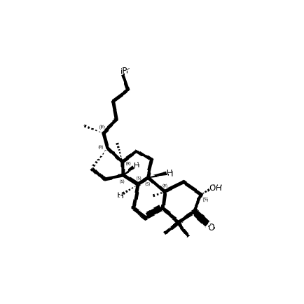 CC(C)CCC[C@@H](C)[C@H]1CC[C@H]2[C@@H]3CC=C4C(C)(C)C(=O)[C@@H](O)C[C@]4(C)[C@H]3CC[C@]12C